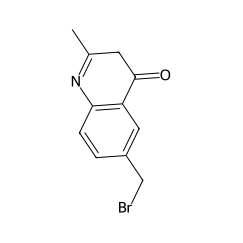 CC1=Nc2ccc(CBr)cc2C(=O)C1